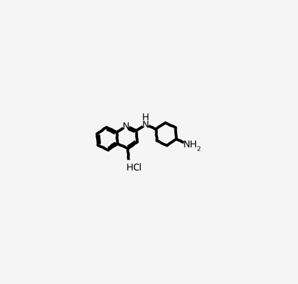 Cc1cc(NC2CCC(N)CC2)nc2ccccc12.Cl